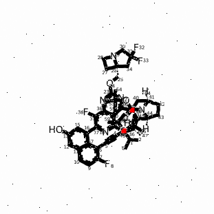 CC(C)[Si](C#Cc1c(F)ccc2cc(O)cc(-c3nc4c5c(nc(OC[C@]67CCN6CC(F)(F)C7)nc5c3F)N3C[C@H]5CC[C@@H]([C@H]3[C@H](C)O4)N5C(=O)OC(C)(C)C)c12)(C(C)C)C(C)C